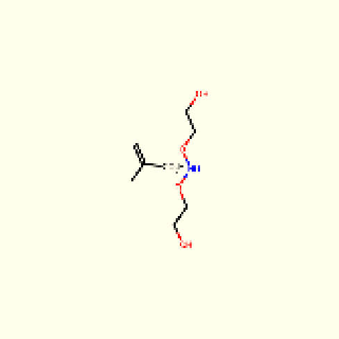 C=C(C)C(=O)O.OCCONOCCO